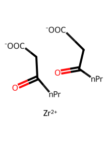 CCCC(=O)CC(=O)[O-].CCCC(=O)CC(=O)[O-].[Zr+2]